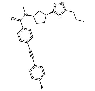 CCCc1nnc([C@H]2CC[C@@H](N(C)C(=O)c3ccc(C#Cc4ccc(F)cc4)cc3)C2)o1